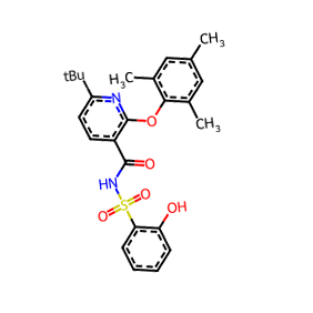 Cc1cc(C)c(Oc2nc(C(C)(C)C)ccc2C(=O)NS(=O)(=O)c2ccccc2O)c(C)c1